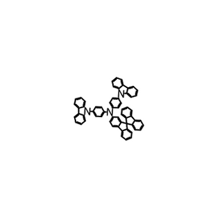 c1ccc2c(c1)-c1ccccc1C21c2ccccc2-c2ccc(N(c3ccc(-n4c5ccccc5c5ccccc54)cc3)c3ccc(-n4c5ccccc5c5ccccc54)cc3)cc21